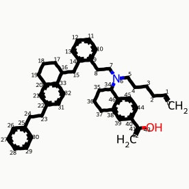 C=CCCCCN(CCc1ccccc1CC1CCCc2cc(CCc3ccccc3)ccc21)C1CCCc2cc(C(=C)O)ccc21